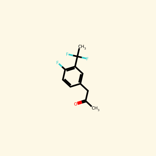 CC(=O)Cc1ccc(F)c(C(C)(F)F)c1